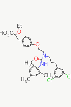 CCOC(Cc1ccc(OCCN(CCCc2cc(Cl)cc(Cl)c2)C(=O)Nc2c(C)cc(C)cc2C)cc1)C(=O)O